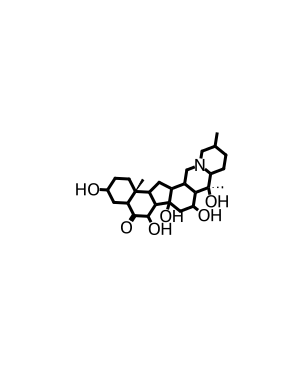 CC1CCC2N(C1)CC1C3CC4C(C(O)C(=O)C5CC(O)CC[C@@]54C)C3(O)CC(O)C1[C@]2(C)O